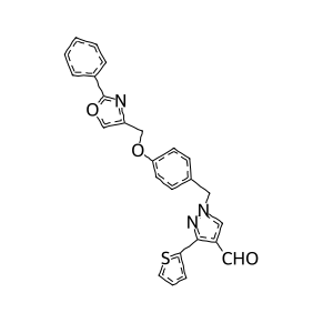 O=Cc1cn(Cc2ccc(OCc3coc(-c4ccccc4)n3)cc2)nc1-c1cccs1